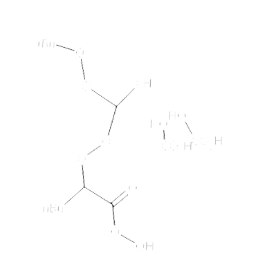 CCCCC(OOC(C)OOC(C)(C)C)C(=O)OO.O=C(O)O.O=C(O)O